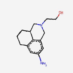 Nc1cc2c3c(c1)CN(CCO)CC3CCC2